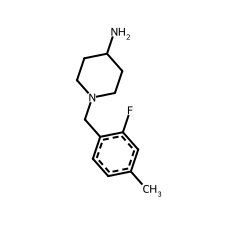 Cc1ccc(CN2CCC(N)CC2)c(F)c1